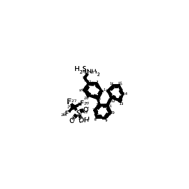 NCc1ccc(-c2ccccc2-c2ccccc2)cc1.O=S(=O)(O)C(F)(F)F.S